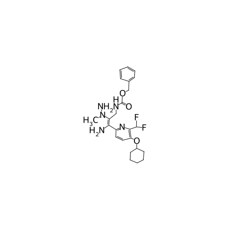 CN(N)/C(CNC(=O)OCc1ccccc1)=C(\N)c1ccc(OC2CCCCC2)c(C(F)F)n1